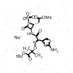 COC(=O)C[C@@H]1[C@@H](NC(=O)/C(=N/OC(C)(C)C(=O)OC(C)(C)C)c2csc(N)n2)C(=O)N1S(=O)(=O)[O-].[Na+]